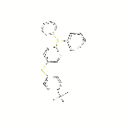 CC(C)(C)c1ccc(Sc2ccc([S+](c3ccccc3)c3ccccc3)cc2)cc1